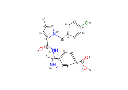 COC(=O)c1ccc(C(C)(N)NC(=O)c2cc(C)cn2Cc2ccc(Cl)cc2)cc1